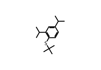 CC(C)c1ccc(SC(C)(C)C)c(C(C)C)c1